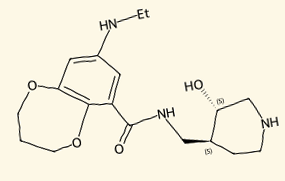 CCNc1cc2c(c(C(=O)NC[C@@H]3CCNC[C@H]3O)c1)OCCCO2